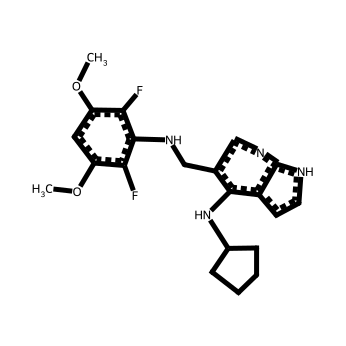 COc1cc(OC)c(F)c(NCc2cnc3[nH]ccc3c2NC2CCCC2)c1F